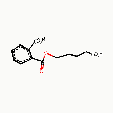 O=C(O)CCCCOC(=O)c1ccccc1C(=O)O